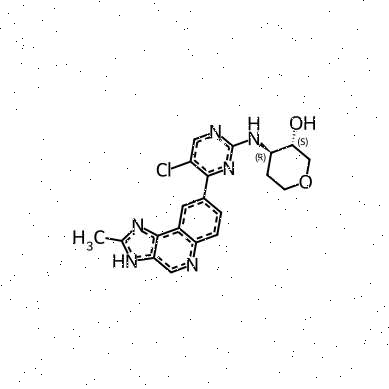 Cc1nc2c(cnc3ccc(-c4nc(N[C@@H]5CCOC[C@H]5O)ncc4Cl)cc32)[nH]1